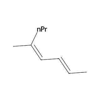 C/C=C/C=C(/C)CCC